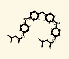 CC(C)CC(C)Nc1ccc(Nc2ccc(Cc3ccc(Nc4ccc(NC(C)CC(C)C)cc4)cc3)cc2)cc1